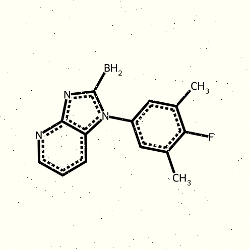 Bc1nc2ncccc2n1-c1cc(C)c(F)c(C)c1